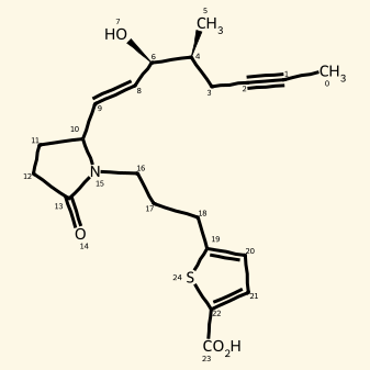 CC#CC[C@H](C)[C@H](O)/C=C/C1CCC(=O)N1CCCc1ccc(C(=O)O)s1